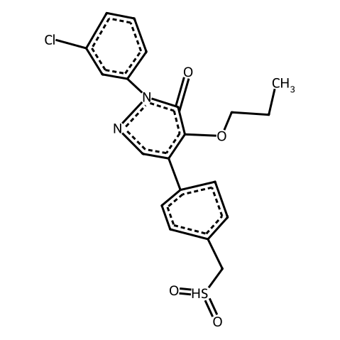 CCCOc1c(-c2ccc(C[SH](=O)=O)cc2)cnn(-c2cccc(Cl)c2)c1=O